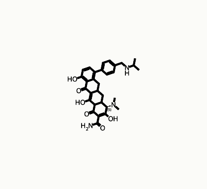 CC(C)NCc1ccc(-c2ccc(O)c3c2CC2CC4C(C(=O)C(C(N)=O)=C(O)[C@H]4N(C)C)C(O)=C2C3=O)cc1